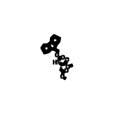 COC(=O)C[C@H](NC(=O)OCC1c2ccccc2-c2ccccc21)C(=O)OC